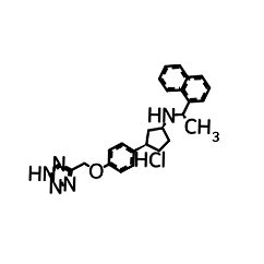 C[C@@H](N[C@H]1CC[C@@H](c2ccc(OCc3nn[nH]n3)cc2)C1)c1cccc2ccccc12.Cl